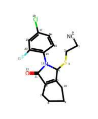 N#CCCSC1C2=C(CCCC2)C(=O)N1c1ccc(Cl)cc1F